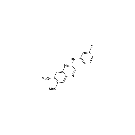 COc1cc2ncc(Nc3cccc(Cl)c3)nc2cc1OC